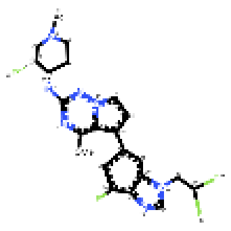 COc1nc(N[C@H]2CCN(C(C)=O)C[C@H]2F)nn2ccc(-c3cc(F)c4ncn(CC(F)F)c4c3)c12